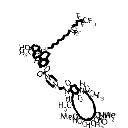 CO[C@H]1C=CC=C(C)C(=O)NC2=CC(=O)C(NCCN3CCN(C(=O)Oc4ccc5c(c4)C[C@@H](CCCCCCCCC[S+]([O-])CCCC(F)(F)C(F)(F)F)[C@@H]4[C@@H]5CC[C@]5(C)[C@@H](O)CC[C@@H]45)CC3)=C(C[C@@H](C)C[C@H](OC)[C@@H](O)[C@@H](C)C=C(C)[C@@H]1OC(N)=O)C2=O